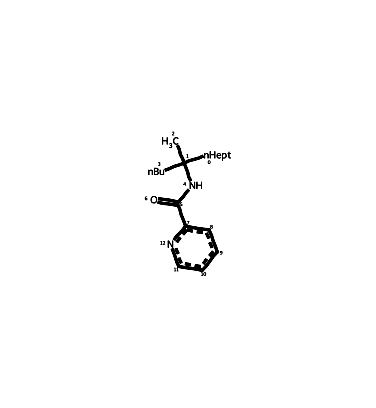 CCCCCCCC(C)(CCCC)NC(=O)c1ccccn1